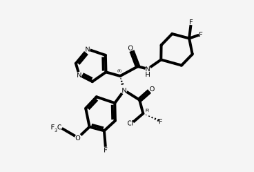 O=C(NC1CCC(F)(F)CC1)[C@@H](c1cncnc1)N(C(=O)[C@H](F)Cl)c1ccc(OC(F)(F)F)c(F)c1